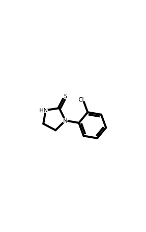 S=C1NCCN1c1ccccc1Cl